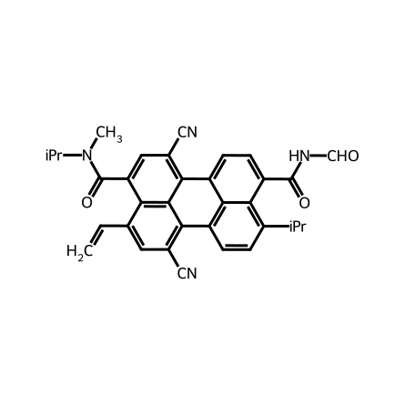 C=Cc1cc(C#N)c2c3ccc(C(C)C)c4c(C(=O)NC=O)ccc(c5c(C#N)cc(C(=O)N(C)C(C)C)c1c25)c43